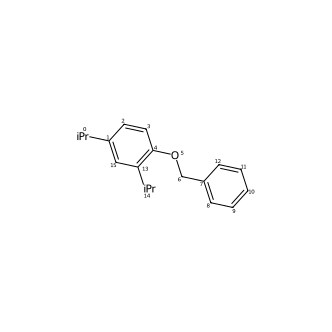 CC(C)c1ccc(OCc2ccccc2)c(C(C)C)c1